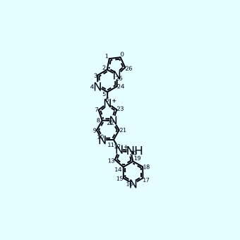 c1cc2cnc(-[n+]3cc4cnc(-[n+]5cc6cnccc6[nH]5)cn4c3)cn2c1